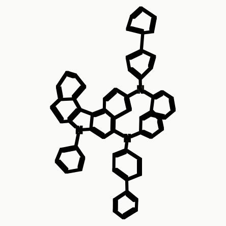 c1ccc(-c2ccc(N(c3ccccc3)c3ccc4c(c3)c(N(c3ccccc3)c3ccc(-c5ccccc5)cc3)cc3c4c4c5ccccc5ccc4n3-c3ccccc3)cc2)cc1